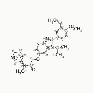 COc1ccc(-c2[nH]c3ccc(OCC(=O)N(C)C4CN5CCC4CC5)cc3c2C(C)C)cc1OC